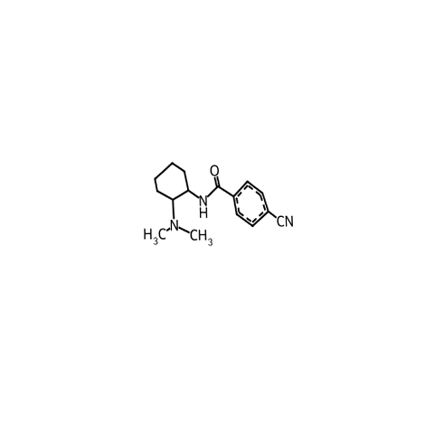 CN(C)C1CCCCC1NC(=O)c1ccc(C#N)cc1